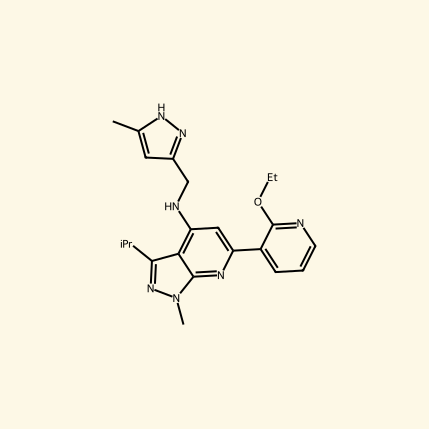 CCOc1ncccc1-c1cc(NCc2cc(C)[nH]n2)c2c(C(C)C)nn(C)c2n1